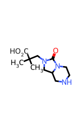 CC(C)(CN1CC2CNCCN2C1=O)C(=O)O